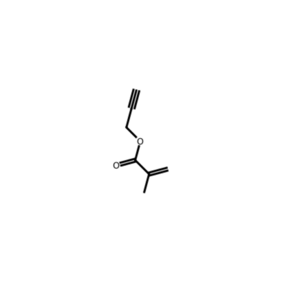 C#CCOC(=O)C(=C)C